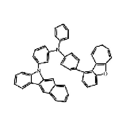 C1=Cc2oc3cccc(-c4ccc(N(c5ccccc5)c5cccc(-n6c7ccccc7c7cc8ccccc8cc76)c5)cc4)c3c2C=CC1